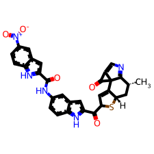 C[C@@H]1C[C@@H]2SC(C(=O)c3cc4cc(NC(=O)c5cc6cc([N+](=O)[O-])ccc6[nH]5)ccc4[nH]3)C=C2C23C(=O)C2=CN=C13